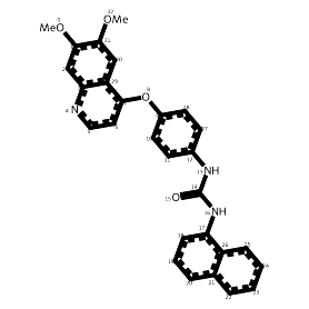 COc1cc2nccc(Oc3ccc(NC(=O)Nc4cccc5ccccc45)cc3)c2cc1OC